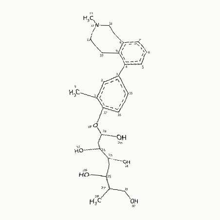 Cc1cc(-c2cccc3c2CCN(C)C3)ccc1OC(O)C(O)C(O)C(O)C(C)CO